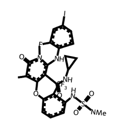 CNS(=O)(=O)Nc1cccc(Oc2c(C(=O)NC3CC3)c(Nc3ccc(I)cc3F)n(C)c(=O)c2C)c1C(F)(F)F